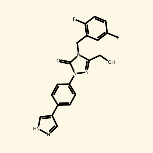 O=c1n(-c2ccc(-c3cn[nH]c3)cc2)nc(CO)n1Cc1cc(F)ccc1F